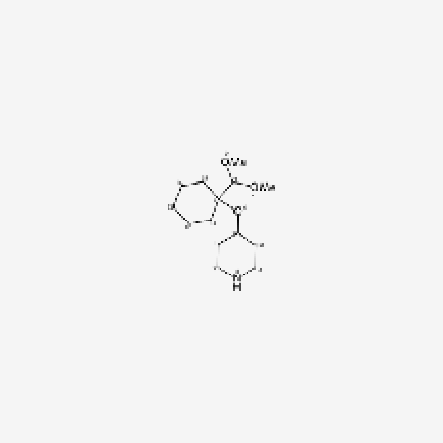 COC(OC)C1(OC2CCNCC2)CCCCC1